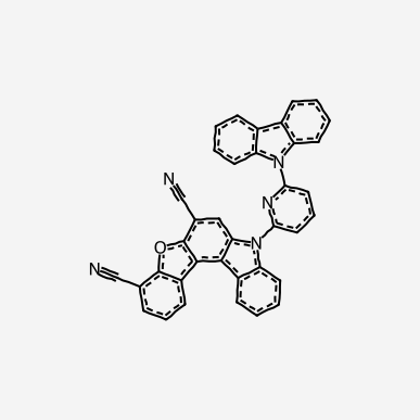 N#Cc1cccc2c1oc1c(C#N)cc3c(c4ccccc4n3-c3cccc(-n4c5ccccc5c5ccccc54)n3)c12